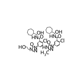 Cc1nn(-c2ccc(Cl)c(C(=O)NC(O)C3CCCCCC3)c2)c(=O)[nH]1.O=C(NC(O)C1CCCCCC1)c1cc(-n2ncn(CCO)c2=O)ccc1Cl